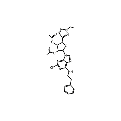 CCn1nnc(C2OC(n3cnc4c(NCCc5ccccc5)nc(Cl)nc43)C(OC(C)=O)C2OC(C)=O)n1